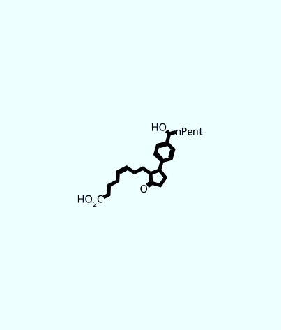 CCCCCC(O)c1ccc(C2CCC(=O)C2CC/C=C\CCCC(=O)O)cc1